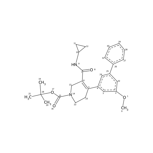 COc1cc(C2=C(C(=O)NC3CC3)CN(C(=O)OC(C)(C)C)CC2)cc(-c2ccccc2)c1